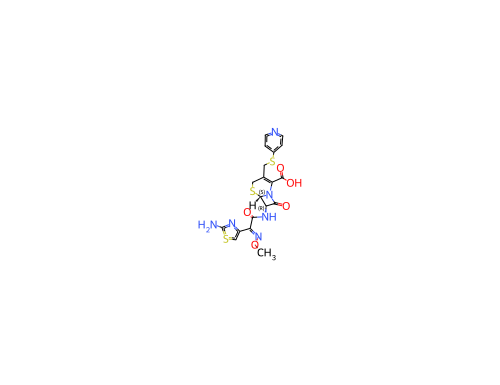 CON=C(C(=O)N[C@@H]1C(=O)N2C(C(=O)O)=C(CSc3ccncc3)CS[C@@H]12)c1csc(N)n1